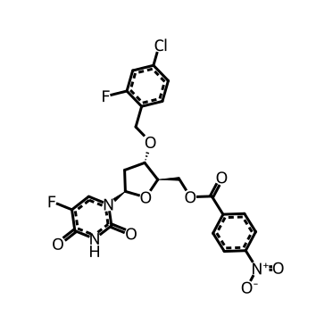 O=C(OC[C@H]1O[C@@H](n2cc(F)c(=O)[nH]c2=O)C[C@@H]1OCc1ccc(Cl)cc1F)c1ccc([N+](=O)[O-])cc1